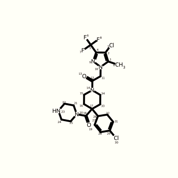 Cc1c(Cl)c(C(F)(F)F)nn1CC(=O)N1CCC(C(=O)N2CCNCC2)(C2C=CC(Cl)=CC2)CC1